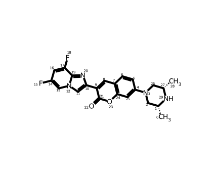 C[C@@H]1CN(c2ccc3cc(-c4cn5cc(F)cc(F)c5n4)c(=O)oc3c2)C[C@H](C)N1